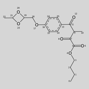 CCCCOC(=O)C(=O)C(C)C(=O)c1ccc(OCC2OC(C)O2)cc1